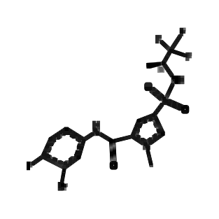 C[C@H](NS(=O)(=O)c1cc(C(=O)Nc2ccc(F)c(Br)c2)n(C)c1)C(F)(F)F